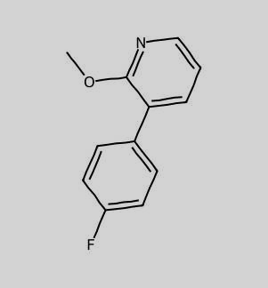 COc1ncccc1-c1ccc(F)cc1